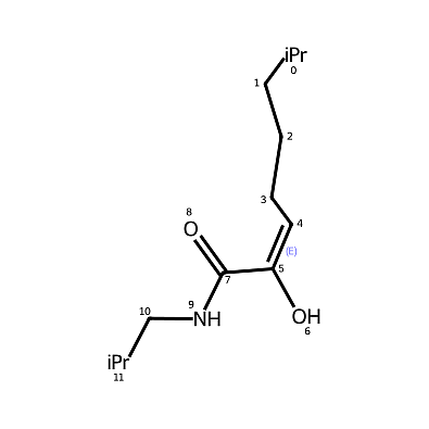 CC(C)CCC/C=C(/O)C(=O)NCC(C)C